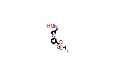 COC(=O)c1cccc(-n2ccc(/C=N\O)c2)c1